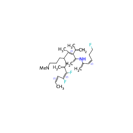 C=C(/C=C\CCF)NC(=C)/C(C(=C)C)=C(/C)C(CCCNC)CC(=C)/C(F)=C(F)\C=C/C